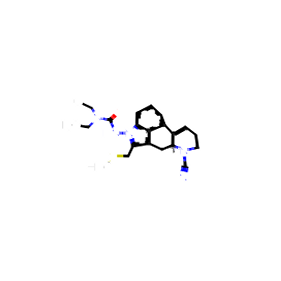 CCN(CC)C(=O)Nn1c(CSC)c2c3c(cccc31)C1=CCCN(C#N)[C@@H]1C2